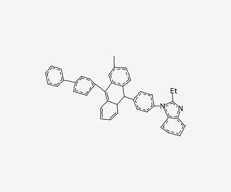 CCc1nc2ccccc2n1-c1ccc(C2c3ccc(C)cc3C(c3ccc(-c4ccccc4)cc3)=C3C=CC=CC32)cc1